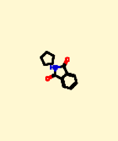 C1CCCC1.O=C1NC(=O)c2ccccc21